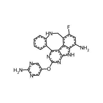 Nc1ncc(Oc2nc3c4c(n2)[nH]c2c(N)cc(F)c(c24)CNc2ccccc2-3)cn1